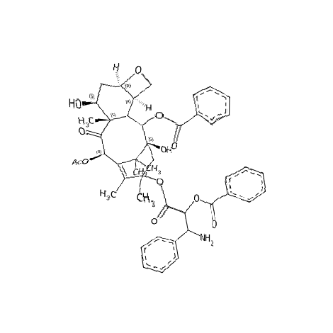 CC(=O)O[C@H]1C(=O)[C@@]2(C)C(C(OC(=O)c3ccccc3)[C@]3(O)CC(C)(OC(=O)C(OC(=O)c4ccccc4)C(N)c4ccccc4)C(C)=C1C3(C)C)[C@@H]1CO[C@@H]1C[C@@H]2O